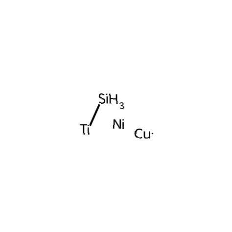 [Cu].[Ni].[SiH3][Ti]